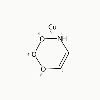 [Cu].c1cooo[nH]1